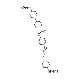 CCCCC[C@H]1CC[C@H](CCCOc2ccc(OC(=O)[C@H]3CC[C@H]([C@H]4CC[C@H](CCCCC)CC4)CC3)cc2)CC1